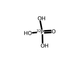 O=[32P](O)(O)O